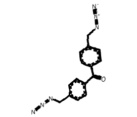 [N-]=[N+]=NCc1ccc(C(=O)c2ccc(CN=[N+]=[N-])cc2)cc1